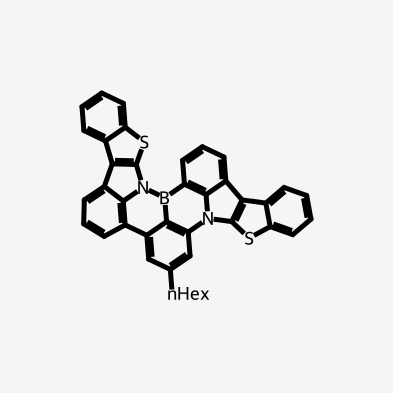 CCCCCCc1cc2c3c(c1)-n1c4sc5ccccc5c4c4cccc(c41)B3n1c3sc4ccccc4c3c3cccc-2c31